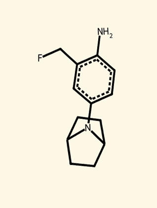 Nc1ccc(N2C3CCC2CC3)cc1CF